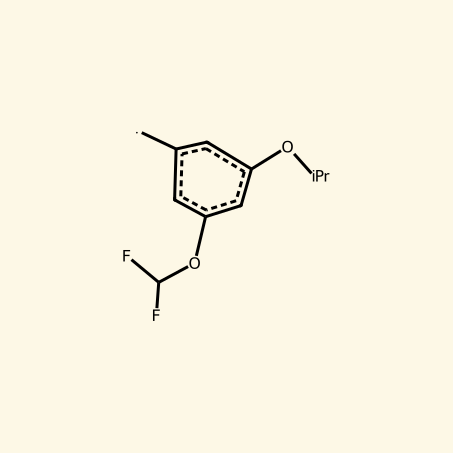 [CH2]c1cc(OC(C)C)cc(OC(F)F)c1